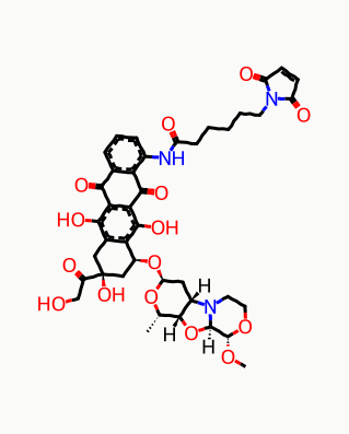 CO[C@H]1OCCN2[C@@H]1O[C@@H]1[C@H](C)O[C@@H](O[C@H]3C[C@](O)(C(=O)CO)Cc4c(O)c5c(c(O)c43)C(=O)c3c(NC(=O)CCCCCN4C(=O)C=CC4=O)cccc3C5=O)C[C@@H]12